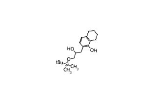 CC(C)(C)[Si](C)(C)OCC(O)Cc1ccc2c(c1O)CCCC2